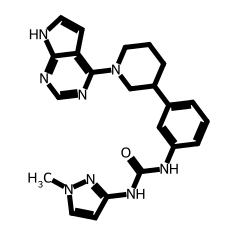 Cn1ccc(NC(=O)Nc2cccc(C3CCCN(c4ncnc5[nH]ccc45)C3)c2)n1